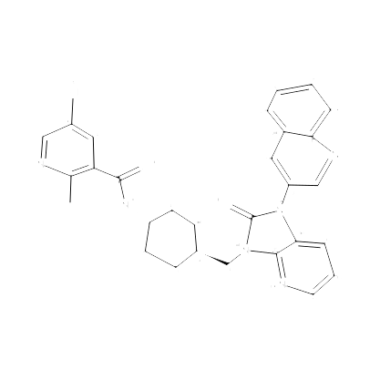 Cc1ncc(Cl)cc1C(=O)N[C@H]1CC[C@H](Cn2c(=O)n(-c3cnc4ccccc4c3)c3cccnc32)CC1